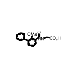 COc1c(C(=O)NCC(=O)O)cccc1-c1ccccc1